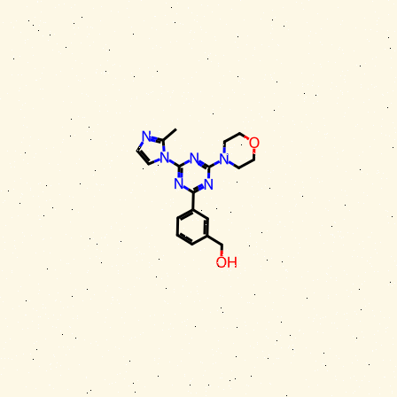 Cc1nccn1-c1nc(-c2cccc(CO)c2)nc(N2CCOCC2)n1